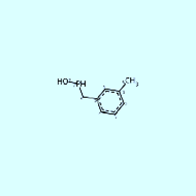 Cc1cccc(CPO)c1